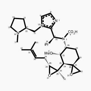 CO[C@@H]1[C@H](N(C(=O)O)[C@H](c2nccn2C[C@@H]2CCCN2C)C(C)C)CC[C@]2(CO2)[C@H]1[C@@]1(C)O[C@@H]1CC=C(C)C